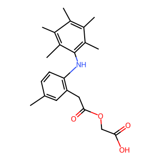 Cc1ccc(Nc2c(C)c(C)c(C)c(C)c2C)c(CC(=O)OCC(=O)O)c1